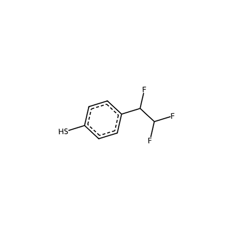 FC(F)C(F)c1ccc(S)cc1